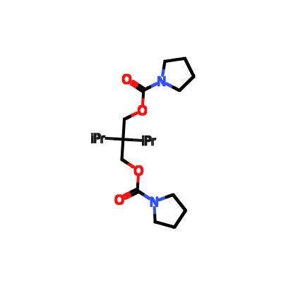 CC(C)C(COC(=O)N1CCCC1)(COC(=O)N1CCCC1)C(C)C